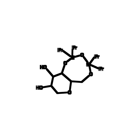 CC(C)[Si]1(C(C)C)OCC2OCC(O)C(O)C2O[Si](C(C)C)(C(C)C)O1